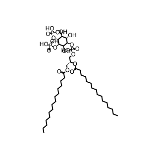 CCCCCCCCCCCCCCCC(=O)OC[C@H](COP(=O)(O)O[C@H]1[C@@H](O)[C@@H](OP(=O)(O)O)[C@H](OP(=O)(O)O)[C@@H](O)[C@@H]1O)OC(=O)CCCCCCCCCCCCCCC